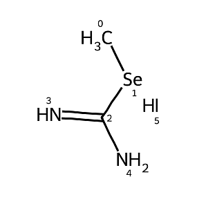 C[Se]C(=N)N.I